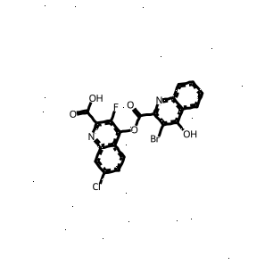 O=C(O)c1nc2cc(Cl)ccc2c(OC(=O)c2nc3ccccc3c(O)c2Br)c1F